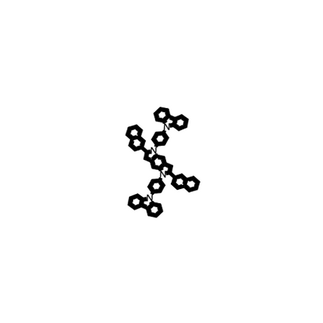 c1ccc2cc(-c3cc4cc5c(cc(-c6ccc7ccccc7c6)n5-c5ccc(-n6c7ccccc7c7ccccc76)cc5)cc4n3-c3ccc(-n4c5ccccc5c5ccccc54)cc3)ccc2c1